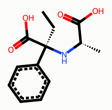 CC[C@@](N[C@@H](C)C(=O)O)(C(=O)O)c1ccccc1